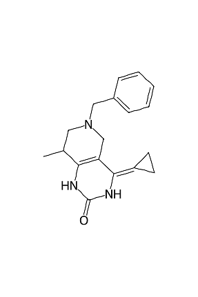 CC1CN(Cc2ccccc2)CC2=C1NC(=O)NC2=C1CC1